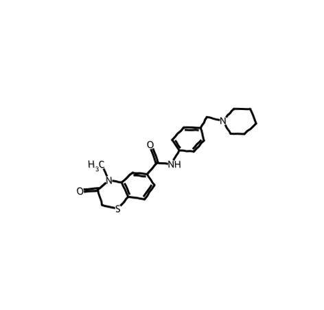 CN1C(=O)CSc2ccc(C(=O)Nc3ccc(CN4CCCCC4)cc3)cc21